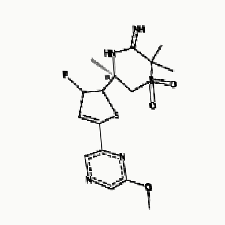 COc1cncc(C2=CC(F)C([C@]3(C)CS(=O)(=O)C(C)(C)C(=N)N3)S2)n1